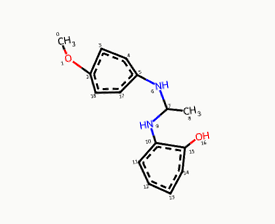 COc1ccc(NC(C)Nc2ccccc2O)cc1